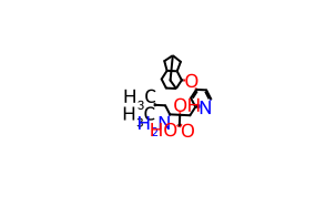 CC(C)C[C@H](N)[C@](O)(Cc1cc(OC2C3CCC4CC(C3)CC42)ccn1)C(=O)O